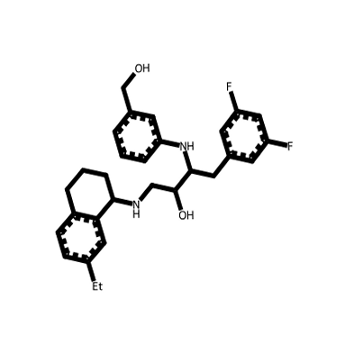 CCc1ccc2c(c1)C(NCC(O)C(Cc1cc(F)cc(F)c1)Nc1cccc(CO)c1)CCC2